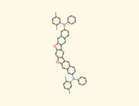 Cc1ccc(C)c(N(c2ccccc2)c2ccc3cc4c(cc3c2)oc2cc3oc5cc6cc(N(c7ccccc7)c7cc(C)ccc7C)ccc6cc5c3cc24)c1